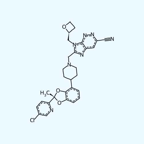 C[C@]1(c2ccc(Cl)cn2)Oc2cccc(C3CCN(Cc4nc5cc(C#N)nnc5n4C[C@@H]4CCO4)CC3)c2O1